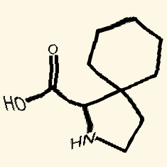 O=C(O)C1NCCC12CCCCC2